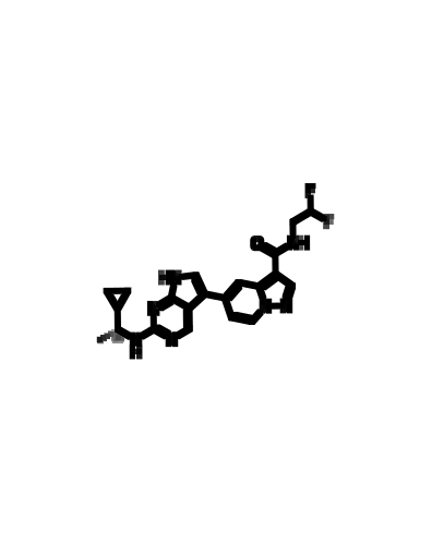 C[C@@H](Nc1ncc2c(-c3ccn4ncc(C(=O)NCC(F)F)c4c3)c[nH]c2n1)C1CC1